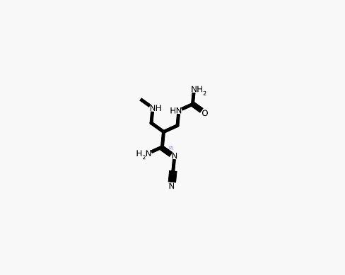 CNCC(CNC(N)=O)/C(N)=N/C#N